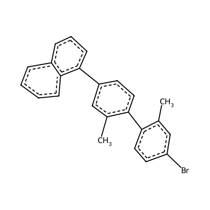 Cc1cc(Br)ccc1-c1ccc(-c2cccc3ccccc23)cc1C